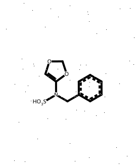 O=S(=O)(O)N(Cc1ccccc1)C1=COCO1